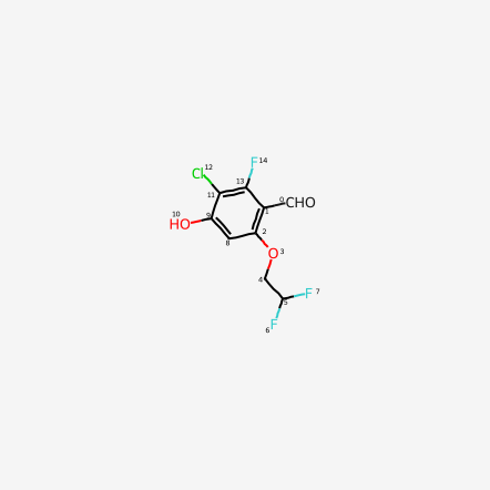 O=Cc1c(OCC(F)F)cc(O)c(Cl)c1F